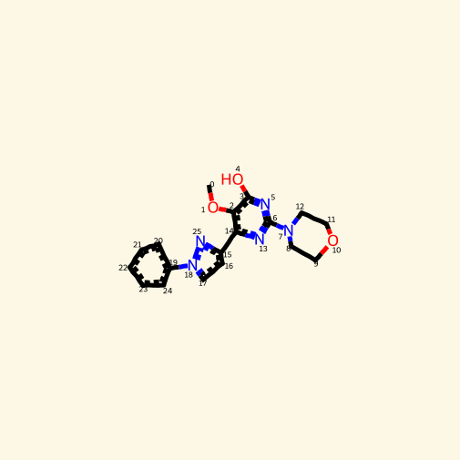 COc1c(O)nc(N2CCOCC2)nc1-c1ccn(-c2ccccc2)n1